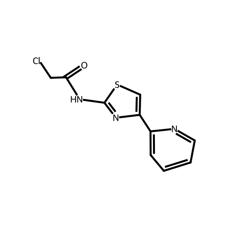 O=C(CCl)Nc1nc(-c2ccccn2)cs1